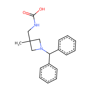 CC1(CNC(=O)O)CN(C(c2ccccc2)c2ccccc2)C1